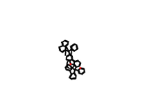 c1ccc(N(c2ccc3oc4c(C5(c6ccccc6)c6ccccc6-c6ccccc65)cccc4c3c2)c2cccc3ccccc23)cc1